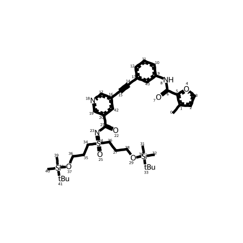 Cc1ccoc1C(=O)Nc1cccc(C#Cc2cncc(C(=O)N=S(=O)(CCCO[Si](C)(C)C(C)(C)C)CCCO[Si](C)(C)C(C)(C)C)c2)c1